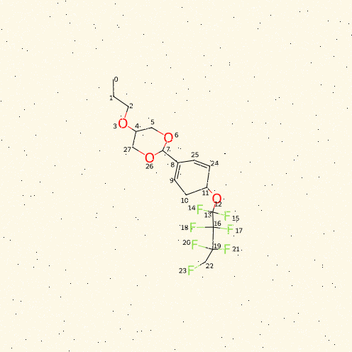 CCCOC1COC(C2=CCC(OC(F)(F)C(F)(F)C(F)(F)CF)C=C2)OC1